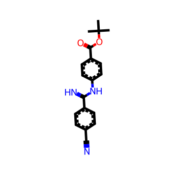 CC(C)(C)OC(=O)c1ccc(NC(=N)c2ccc(C#N)cc2)cc1